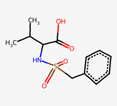 CC(C)C(NS(=O)(=O)Cc1ccccc1)C(=O)O